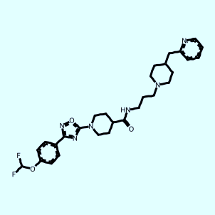 O=C(NCCCN1CCC(Cc2ccccn2)CC1)C1CCN(c2nc(-c3ccc(OC(F)F)cc3)no2)CC1